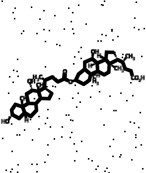 C[C@H](CCC(=O)O)[C@H]1CC[C@H]2[C@@H]3[C@H](O)CC4C[C@H](OC(=O)CC[C@@H](C)[C@H]5CCC6C7CC[C@@H]8C[C@H](O)CC[C@]8(C)C7C[C@H](O)[C@@]65C)CC[C@]4(C)[C@H]3CC[C@]12C